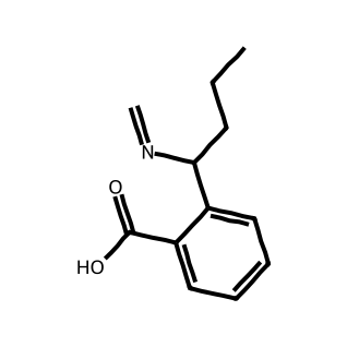 C=NC(CCC)c1ccccc1C(=O)O